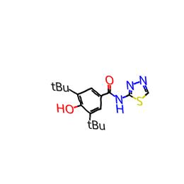 CC(C)(C)c1cc(C(=O)Nc2nncs2)cc(C(C)(C)C)c1O